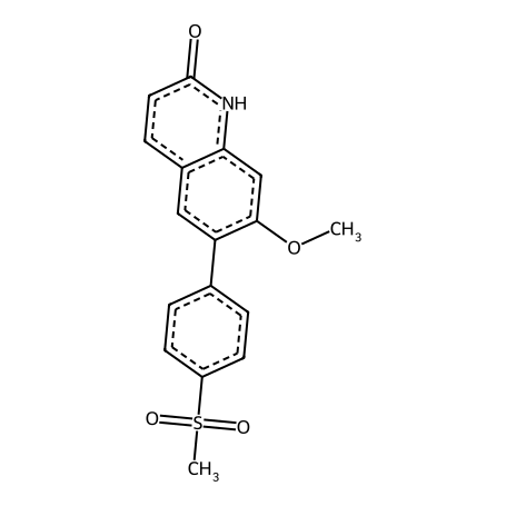 COc1cc2[nH]c(=O)ccc2cc1-c1ccc(S(C)(=O)=O)cc1